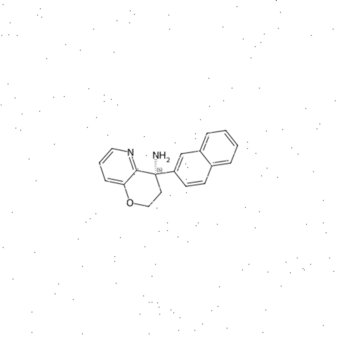 N[C@]1(c2ccc3ccccc3c2)CCOc2cccnc21